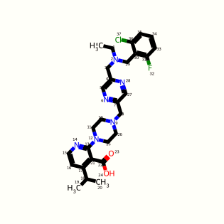 CCN(Cc1cnc(CN2CCN(c3nccc(C(C)C)c3C(=O)O)CC2)cn1)Cc1c(F)cccc1Cl